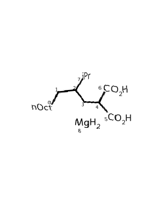 CCCCCCCCCC(CC(C(=O)O)C(=O)O)C(C)C.[MgH2]